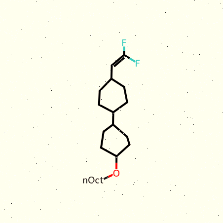 CCCCCCCCOC1CCC(C2CCC(C=C(F)F)CC2)CC1